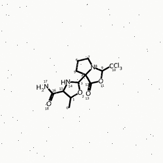 CC1OC(C23CCCN2C(C(Cl)(Cl)Cl)OC3=O)NC1C(N)=O